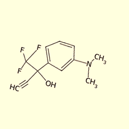 C#CC(O)(c1cccc(N(C)C)c1)C(F)(F)F